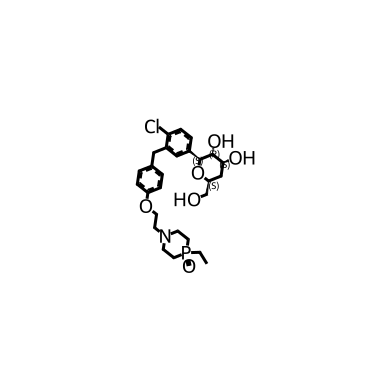 CCP1(=O)CCN(CCOc2ccc(Cc3cc([C@@H]4O[C@H](CO)C[C@H](O)[C@H]4O)ccc3Cl)cc2)CC1